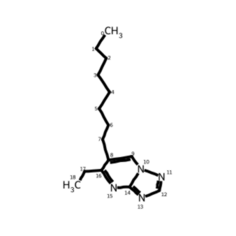 CCCCCCCCc1cn2ncnc2nc1CC